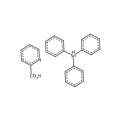 O=C(O)c1ccccn1.c1cc[c]([SnH]([c]2ccccc2)[c]2ccccc2)cc1